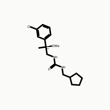 CO[C@](C)(CNC(=O)NCC1CCCC1)c1cccc(Cl)c1